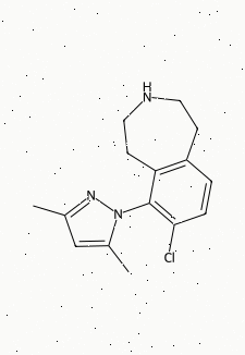 Cc1cc(C)n(-c2c(Cl)ccc3c2CCNCC3)n1